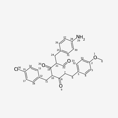 COc1ccc(CCC(=O)C(Cc2ccc(Cl)cc2)C(=O)C([C]=O)Cc2ccc(N)cc2)cc1